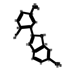 Cc1ccc2nc(-c3cc([N+](=O)[O-])ccc3F)oc2c1